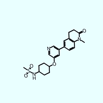 CN1C(=O)CCc2cc(-c3cncc(OC4CCC(NS(C)(=O)=O)CC4)c3)ccc21